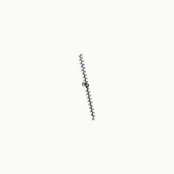 CCCCCC/C=C/CCCCCCCCCC(=O)OCCCCCCCCCCCCCCCCCCC